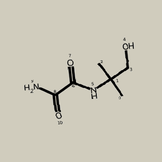 CC(C)(CO)NC(=O)C(N)=O